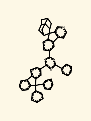 c1ccc(-c2nc(-c3ccc4c(c3)-c3ccncc3C43C4CC5CC(C4)CC3C5)nc(-c3ccc4c(c3)C(c3ccccc3)(c3ccccc3)c3ccccc3-4)n2)cc1